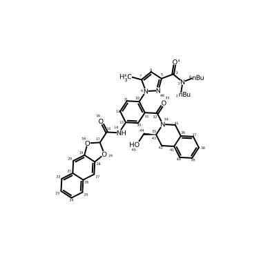 CCCCN(CCCC)C(=O)c1cc(C)n(-c2ccc(NC(=O)C3Oc4cc5ccccc5cc4O3)cc2C(=O)N2Cc3ccccc3C[C@H]2CO)n1